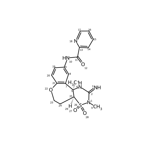 CN1C(=N)N[C@]2(C)c3cc(NC(=O)c4ccccn4)ccc3OCC[C@@H]2S1(=O)=O